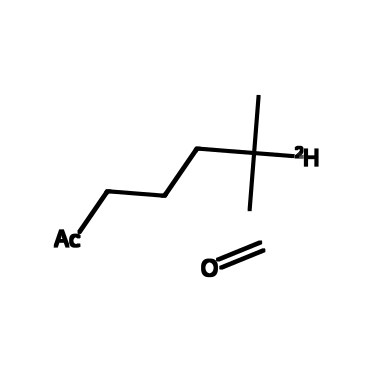 C=O.[2H]C(C)(C)CCCC(C)=O